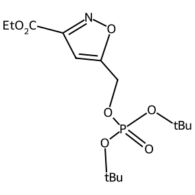 CCOC(=O)c1cc(COP(=O)(OC(C)(C)C)OC(C)(C)C)on1